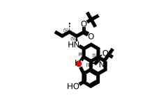 CC[C@H](C)[C@H](NC1CC[C@@]2(OC)C3Cc4ccc(O)c5c4[C@@]2(CCN3C)[C@H]1O5)C(=O)OC(C)(C)C